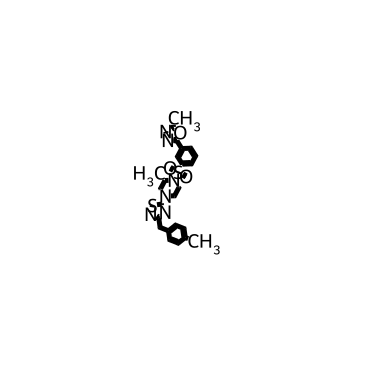 Cc1ccc(Cc2nsc(N3CCN(S(=O)(=O)c4cccc(-c5nnc(C)o5)c4)C(C)C3)n2)cc1